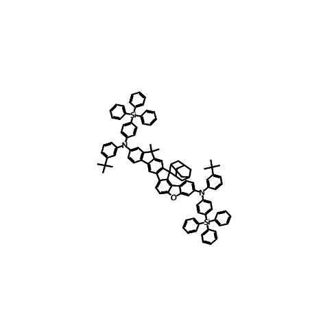 CC(C)(C)c1cccc(N(c2ccc([Si](c3ccccc3)(c3ccccc3)c3ccccc3)cc2)c2ccc3c(c2)C(C)(C)c2cc4c(cc2-3)-c2ccc3oc5cc(N(c6ccc([Si](c7ccccc7)(c7ccccc7)c7ccccc7)cc6)c6cccc(C(C)(C)C)c6)ccc5c3c2C42C3CC4CC(C3)CC2C4)c1